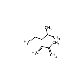 C=CC(=C)C.CCCC(C)C